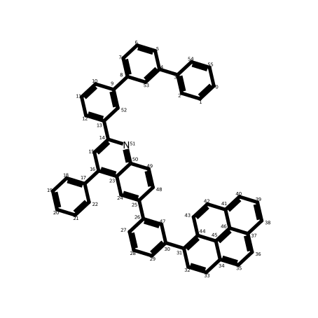 c1ccc(-c2cccc(-c3cccc(-c4cc(-c5ccccc5)c5cc(-c6cccc(-c7ccc8ccc9cccc%10ccc7c8c9%10)c6)ccc5n4)c3)c2)cc1